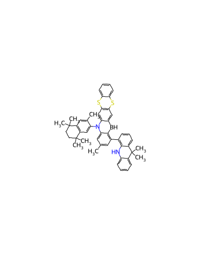 Cc1cc(-c2cccc3c2Nc2ccccc2C3(C)C)c2c(c1)N(c1cc3c(cc1C)C(C)(C)CCC3(C)C)c1cc3c(cc1B2)Sc1ccccc1S3